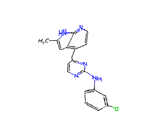 Cc1cc2c(-c3ccnc(Nc4cccc(Cl)c4)n3)ccnc2[nH]1